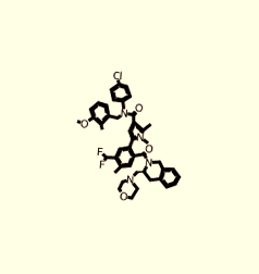 COc1cccc(CN(C(=O)c2cc(-c3cc(C(F)F)c(C)cc3C(=O)N3Cc4ccccc4C[C@H]3CN3CCOCC3)n(C)c2C)c2ccc(Cl)cc2)c1C